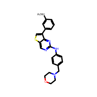 CC(=O)Nc1cccc(-c2csc3cnc(Nc4ccc(CN5CCOCC5)cc4)nc23)c1